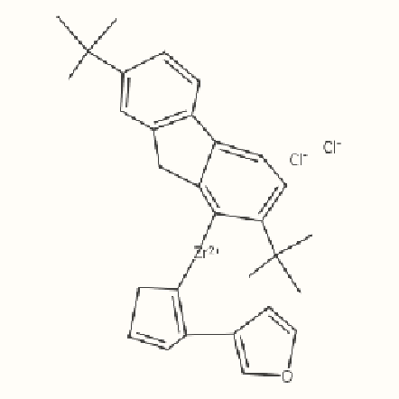 CC(C)(C)c1ccc2c(c1)Cc1c-2ccc(C(C)(C)C)[c]1[Zr+2][C]1=C(c2ccoc2)C=CC1.[Cl-].[Cl-]